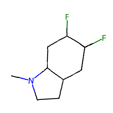 CN1CCC2CC(F)C(F)CC21